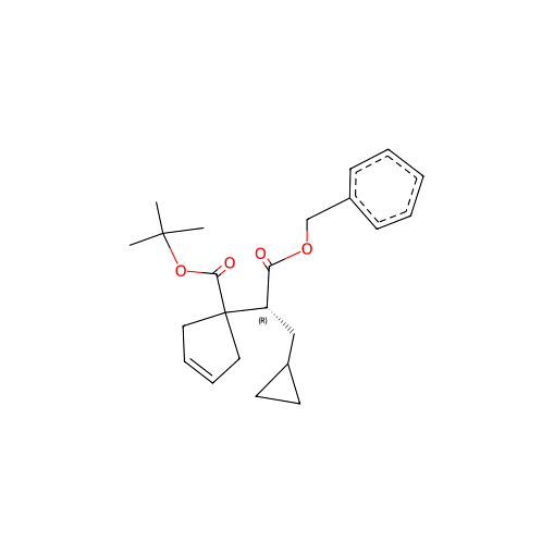 CC(C)(C)OC(=O)C1([C@@H](CC2CC2)C(=O)OCc2ccccc2)CC=CC1